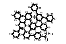 CC(C)(C)C(=O)c1ccc(-c2ccccc2-c2cc(-c3ccccc3-c3cnc(-c4ccccc4)cc3-c3ccccc3)cc(-c3ccccc3-c3cnc(-c4ccccc4)cc3-c3ccccc3)c2)cc1